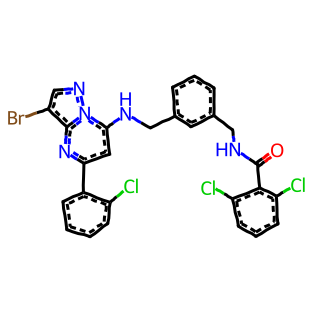 O=C(NCc1cccc(CNc2cc(-c3ccccc3Cl)nc3c(Br)cnn23)c1)c1c(Cl)cccc1Cl